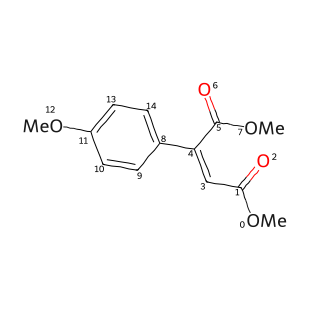 COC(=O)C=C(C(=O)OC)c1ccc(OC)cc1